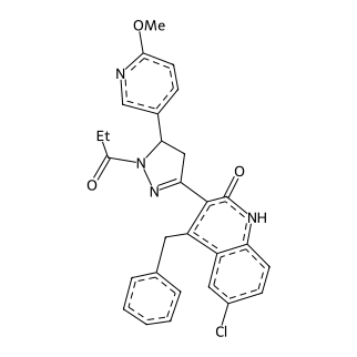 CCC(=O)N1N=C(c2c(Cc3ccccc3)c3cc(Cl)ccc3[nH]c2=O)CC1c1ccc(OC)nc1